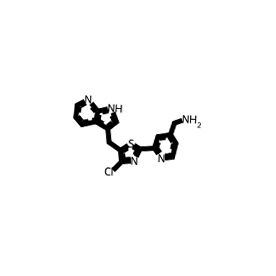 NCc1ccnc(-c2nc(Cl)c(Cc3c[nH]c4ncccc34)s2)c1